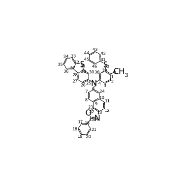 Cc1ccc(N(c2ccc3c(ccc4nc(-c5ccccc5)oc43)c2)c2ccc3c(c2)sc2ccccc23)cc1Sc1ccccc1